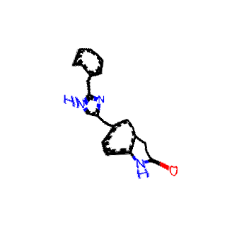 O=C1Cc2cc(-c3c[nH]c(-c4ccccc4)n3)ccc2N1